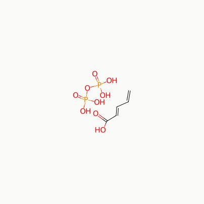 C=CC=CC(=O)O.O=P(O)(O)OP(=O)(O)O